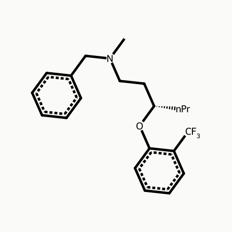 CCC[C@@H](CCN(C)Cc1ccccc1)Oc1ccccc1C(F)(F)F